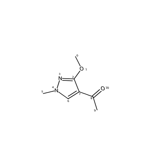 COc1nn(C)cc1C(C)=O